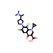 CC(C1CCN(c2c(F)cc3c(=O)c(C(=O)O)cn(C4CC4)c3c2Cl)C1)N(C)C